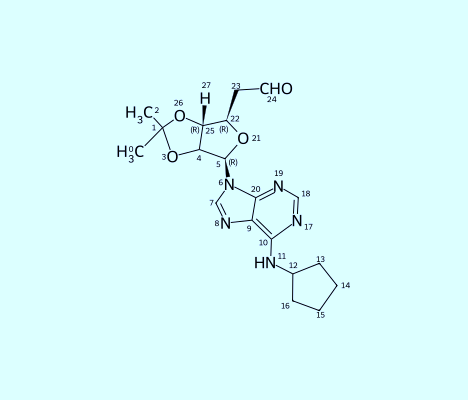 CC1(C)OC2[C@H](n3cnc4c(NC5CCCC5)ncnc43)O[C@H](CC=O)[C@H]2O1